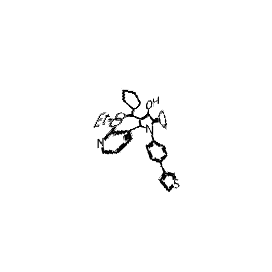 CCOc1ncccc1C1C(C(=O)C2CCCC2)=C(O)C(=O)N1c1ccc(-c2ccsc2)cc1